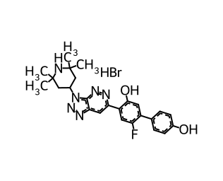 Br.CC1(C)CC(n2nnc3cc(-c4cc(F)c(-c5ccc(O)cc5)cc4O)nnc32)CC(C)(C)N1